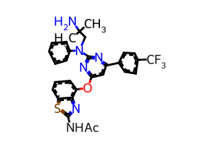 CC(=O)Nc1nc2c(Oc3cc(-c4ccc(C(F)(F)F)cc4)nc(N(CC(C)(C)N)c4ccccc4)n3)cccc2s1